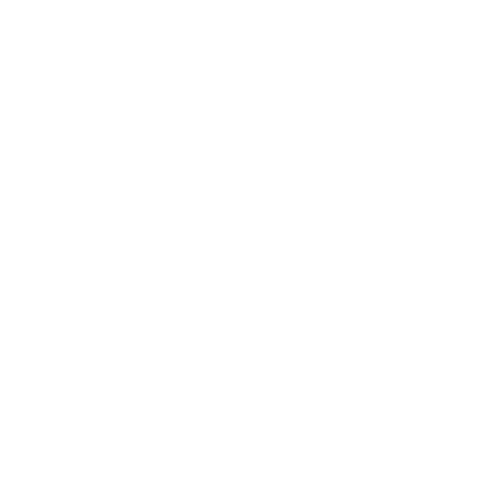 [CH2]CCC1CCC(CCCCCCC)CC1